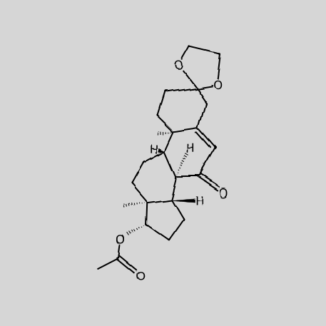 CC(=O)O[C@H]1CC[C@H]2[C@@H]3C(=O)C=C4CC5(CC[C@]4(C)[C@H]3CC[C@]12C)OCCO5